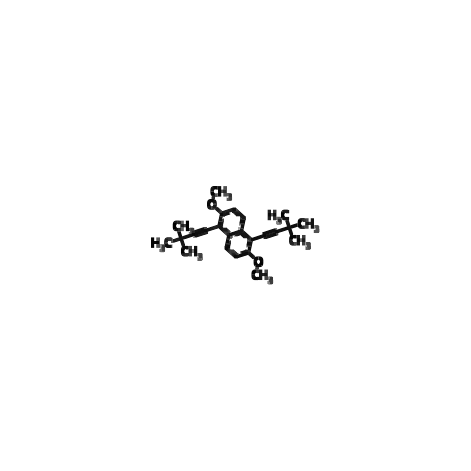 COc1ccc2c(C#CC(C)(C)C)c(OC)ccc2c1C#CC(C)(C)C